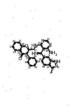 Cc1n[nH]c2cc(C(=N)c3c(N)ncnc3NCc3oc4ccccc4c(=O)c3-c3ccccc3)ccc12